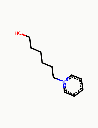 OCCCCCC[n+]1ccccc1